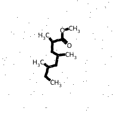 CCC(C)CC(C)CC(C)C(=O)OC